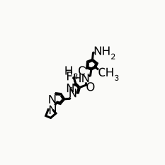 Cc1cc(CN)cc(C)c1CNC(=O)c1cn(Cc2ccnc(N3CCCC3)c2)nc1CF